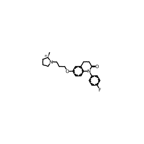 C[C@@H]1CCCN1CCCOc1ccc2c(c1)CCC(=O)N2c1ccc(F)cc1